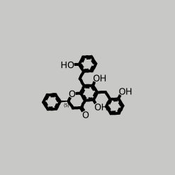 O=C1C[C@@H](c2ccccc2)Oc2c(Cc3ccccc3O)c(O)c(Cc3ccccc3O)c(O)c21